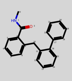 CNC(=O)c1ccccc1Cc1ccccc1-c1ccccc1